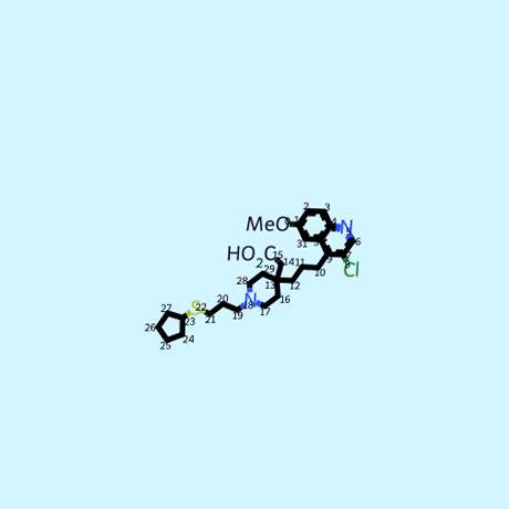 COc1ccc2ncc(Cl)c(CCCC3(CC(=O)O)CCN(CCCSC4CCCC4)CC3)c2c1